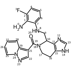 Nc1c(F)cccc1NCC1c2nc[nH]c2CCN1C(=O)c1cnn2ccccc12